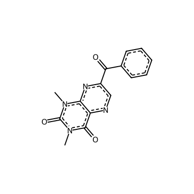 Cn1c(=O)c2ncc(C(=O)c3ccccc3)nc2n(C)c1=O